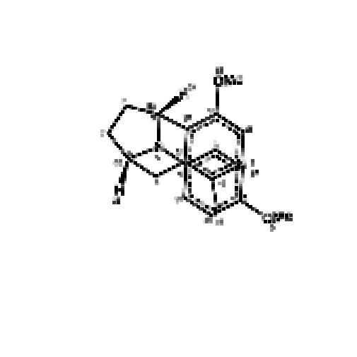 COc1ccc(N2[C@H]3CC[C@@H]2c2c(OC)cnc(F)c2C3)cc1